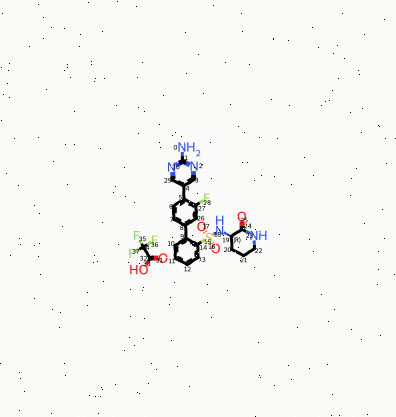 Nc1ncc(-c2ccc(-c3ccccc3S(=O)(=O)N[C@@H]3CCCNC3=O)cc2F)cn1.O=C(O)C(F)(F)F